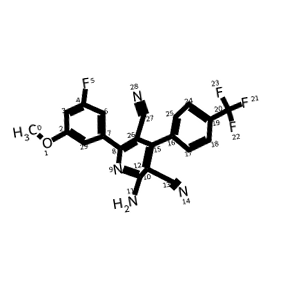 COc1cc(F)cc(-c2nc(N)c(C#N)c(-c3ccc(C(F)(F)F)cc3)c2C#N)c1